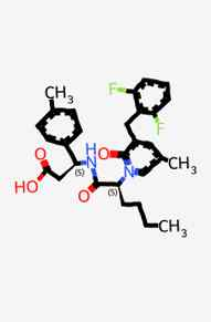 CCCC[C@@H](C(=O)N[C@@H](CC(=O)O)c1ccc(C)cc1)n1cc(C)cc(Cc2c(F)cccc2F)c1=O